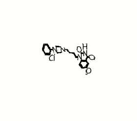 COc1ccc2c(c1)c(=O)[nH]c(=O)n2CCCCN1CCN(c2ccccc2Cl)CC1